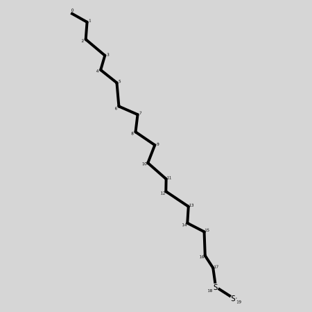 CCCCCCCCCCCCCCCCCCS[S]